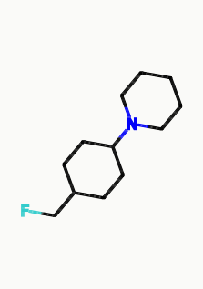 FCC1CCC(N2CCCCC2)CC1